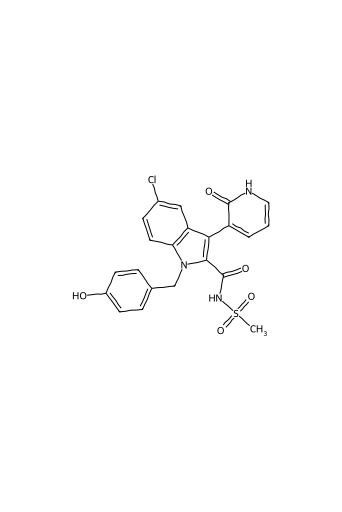 CS(=O)(=O)NC(=O)c1c(-c2ccc[nH]c2=O)c2cc(Cl)ccc2n1Cc1ccc(O)cc1